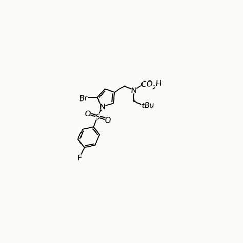 CC(C)(C)CN(Cc1cc(Br)n(S(=O)(=O)c2ccc(F)cc2)c1)C(=O)O